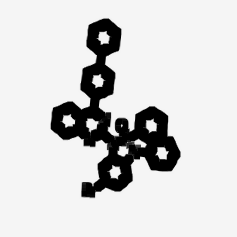 O=P1(c2ccccc2)N(c2ccccc2)c2ccc(Br)cc2N1c1nc(-c2ccc(-c3ccccc3)cc2)c2ccccc2n1